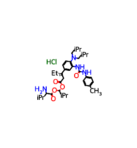 CC[C@@H](CC(=O)OC(OC(=O)C(N)C(C)C)C(C)C)c1ccc(N(CC(C)C)CC(C)C)c(NC(=O)Nc2ccc(C)cc2)c1.Cl